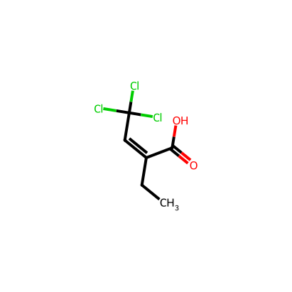 CCC(=CC(Cl)(Cl)Cl)C(=O)O